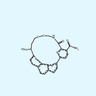 CCCCCCCCC1CCCCCNC(=O)c2nc(ccc2C(N)=O)-c2ccc3ccc4ccc1nc4c3n2